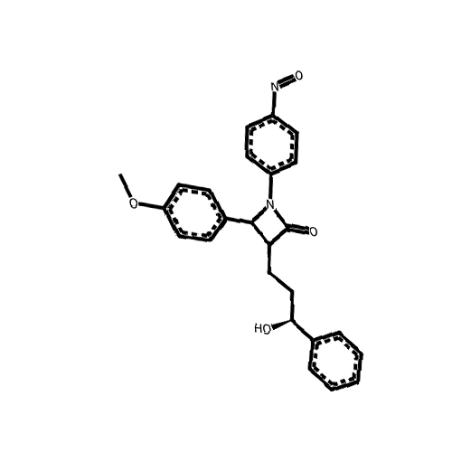 COc1ccc(C2C(CC[C@H](O)c3ccccc3)C(=O)N2c2ccc(N=O)cc2)cc1